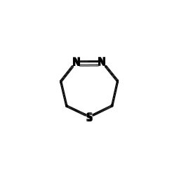 C1CSCCN=N1